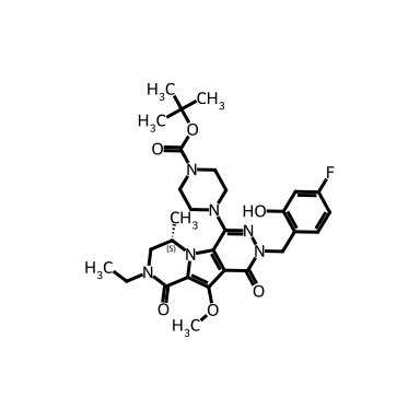 CCN1C[C@H](C)n2c(c(OC)c3c(=O)n(Cc4ccc(F)cc4O)nc(N4CCN(C(=O)OC(C)(C)C)CC4)c32)C1=O